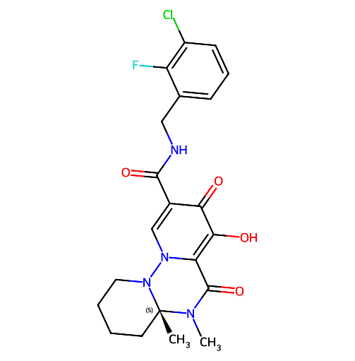 CN1C(=O)c2c(O)c(=O)c(C(=O)NCc3cccc(Cl)c3F)cn2N2CCCC[C@@]12C